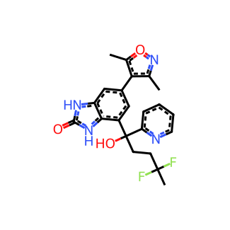 Cc1noc(C)c1-c1cc(C(O)(CCC(C)(F)F)c2ccccn2)c2[nH]c(=O)[nH]c2c1